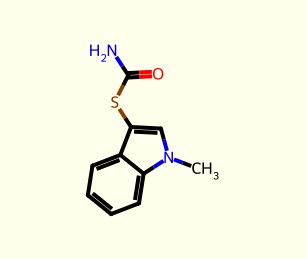 Cn1cc(SC(N)=O)c2ccccc21